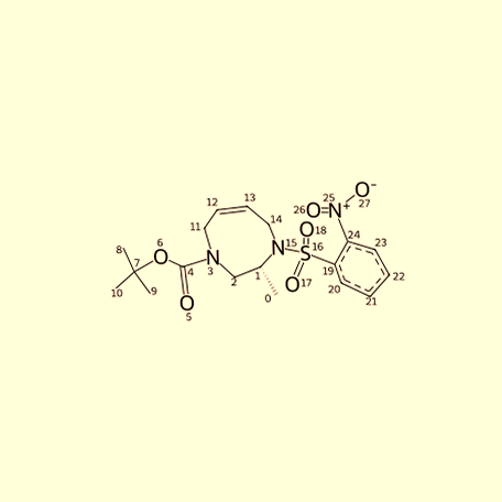 C[C@@H]1CN(C(=O)OC(C)(C)C)C/C=C\CN1S(=O)(=O)c1ccccc1[N+](=O)[O-]